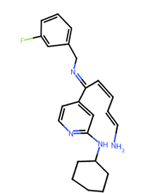 N/C=C/C=C\C(=N/Cc1cccc(F)c1)c1ccnc(NC2CCCCC2)c1